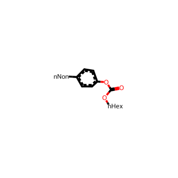 CCCCCCCCCc1ccc(OC(=O)OCCCCCC)cc1